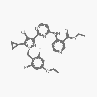 CCOC(=O)c1cnccc1Nc1ccnc(-c2nn(Cc3c(F)cc(OCC)cc3F)c(C3CC3)c2Cl)n1